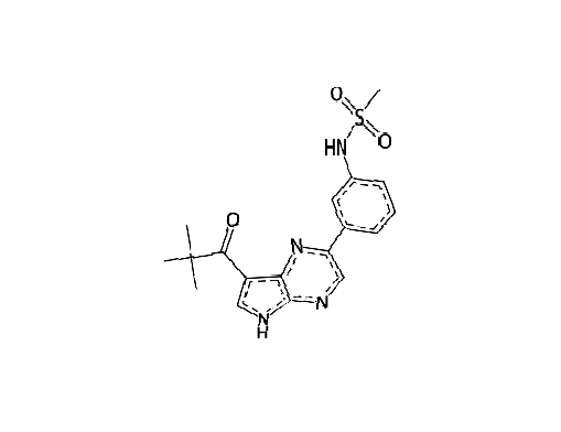 CC(C)(C)C(=O)c1c[nH]c2ncc(-c3cccc(NS(C)(=O)=O)c3)nc12